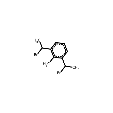 Cc1c(C(C)Br)cccc1C(C)Br